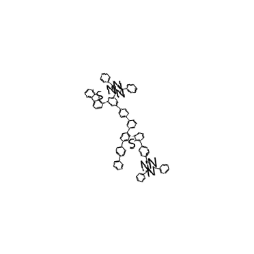 c1ccc(-c2ccc(-c3ccc(-c4cccc(-c5ccc(-c6cc(-c7nc(-c8ccccc8)nc(-c8ccccc8)n7)cc(-c7cccc8c7sc7ccccc78)c6)cc5)c4)c4c3sc3c(-c5ccc(-c6nc(-c7ccccc7)nc(-c7ccccc7)n6)cc5)cccc34)cc2)cc1